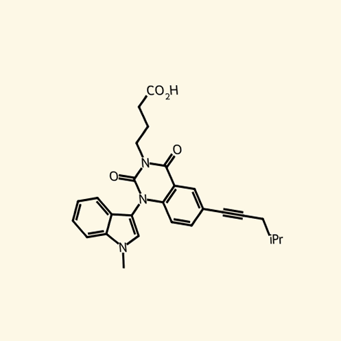 CC(C)CC#Cc1ccc2c(c1)c(=O)n(CCCC(=O)O)c(=O)n2-c1cn(C)c2ccccc12